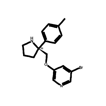 Cc1ccc([C@]2(COc3cncc(Br)c3)CCCN2)cc1